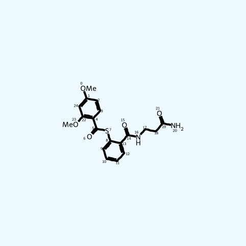 COc1ccc(C(=O)Sc2ccccc2C(=O)NCCC(N)=O)c(OC)c1